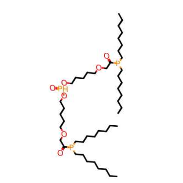 CCCCCCCCP(CCCCCCCC)C(=O)COCCCCCO[PH](=O)OCCCCCOCC(=O)P(CCCCCCCC)CCCCCCCC